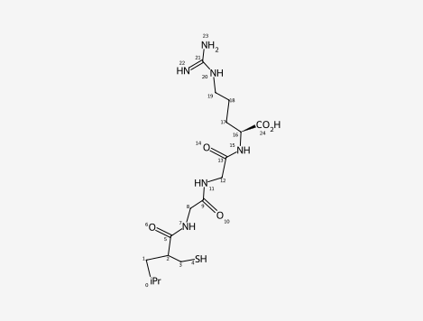 CC(C)CC(CS)C(=O)NCC(=O)NCC(=O)N[C@@H](CCCNC(=N)N)C(=O)O